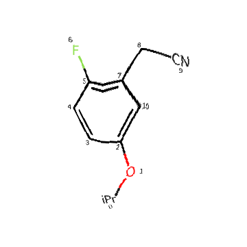 CC(C)Oc1ccc(F)c(CC#N)c1